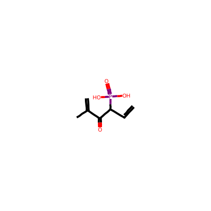 C=CC(C(=O)C(=C)C)P(=O)(O)O